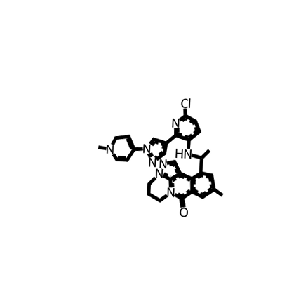 Cc1cc(C(C)Nc2ccc(Cl)nc2-c2cnn(C3=CCN(C)C=C3)c2)c2c(c1)c(=O)n1c3c2cnn3CCC1